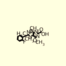 COc1nc(C(=O)O)nc(OC)c1N=C(N)C(C)(C)c1ccccc1F